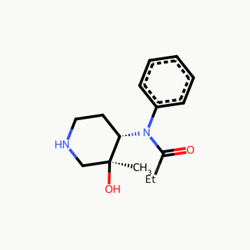 CCC(=O)N(c1ccccc1)[C@H]1CCNC[C@]1(C)O